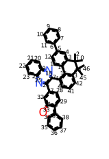 CC1(C)c2cc(-c3ccccc3)ccc2-c2c(-c3nc4ccccc4nc3-c3ccc4c(c3)oc3ccccc34)cccc2C1(C)C